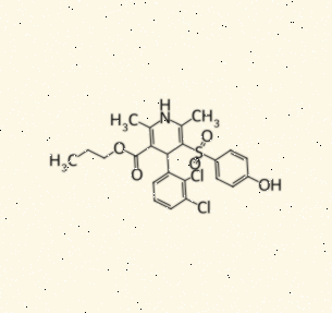 CCCOC(=O)C1=C(C)NC(C)=C(S(=O)(=O)c2ccc(O)cc2)C1c1cccc(Cl)c1Cl